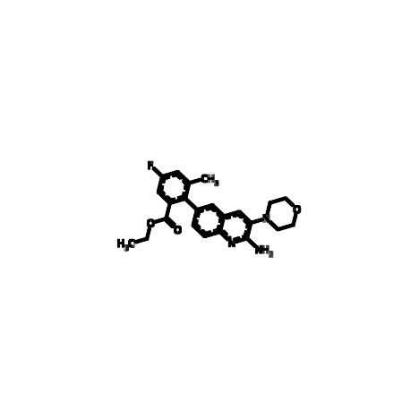 CCOC(=O)c1cc(F)cc(C)c1-c1ccc2nc(N)c(N3CCOCC3)cc2c1